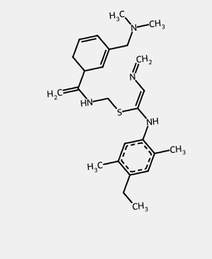 C=N/C=C(/Nc1cc(C)c(CC)cc1C)SCNC(=C)C1C=C(CN(C)C)C=CC1